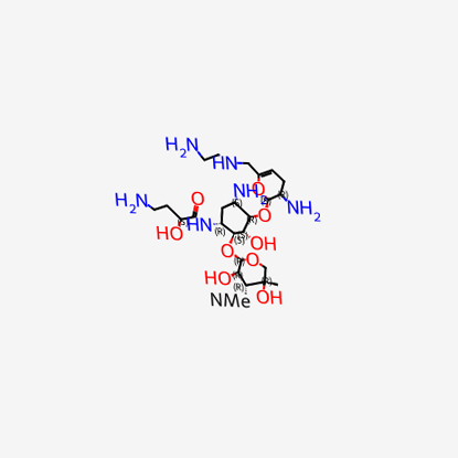 CN[C@@H]1[C@@H](O)[C@@H](O[C@@H]2[C@@H](O)[C@H](O[C@H]3OC(CNCCN)=CC[C@H]3N)[C@@H](N)C[C@H]2NC(=O)[C@@H](O)CCN)OC[C@]1(C)O